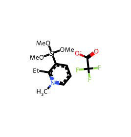 CCc1c([Si](OC)(OC)OC)ccc[n+]1C.O=C([O-])C(F)(F)F